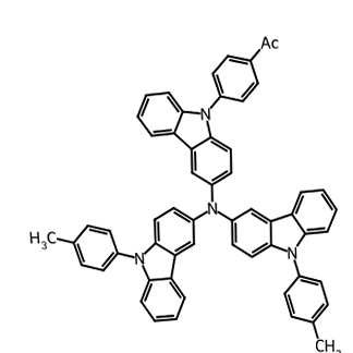 CC(=O)c1ccc(-n2c3ccccc3c3cc(N(c4ccc5c(c4)c4ccccc4n5-c4ccc(C)cc4)c4ccc5c(c4)c4ccccc4n5-c4ccc(C)cc4)ccc32)cc1